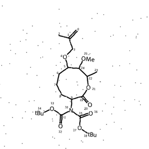 C=C(C)COC1CCCC(N(C(=O)OC(C)(C)C)C(=O)OC(C)(C)C)C(=O)OC(C)C1OC